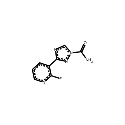 NC(=O)n1cnc(-c2cccnc2F)n1